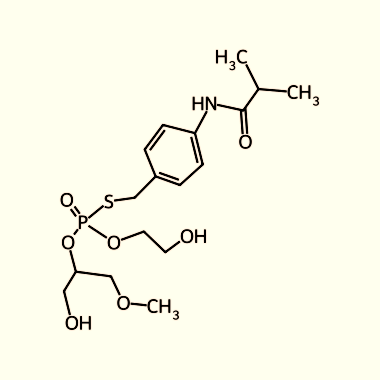 COCC(CO)OP(=O)(OCCO)SCc1ccc(NC(=O)C(C)C)cc1